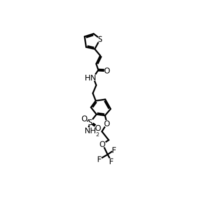 NS(=O)(=O)c1cc(CCNC(=O)/C=C/c2cccs2)ccc1OCCOC(F)(F)F